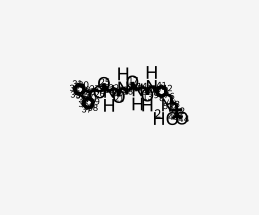 CC(C)(C[C@@H](N)Cc1ccc(NC(=O)CNC(=O)CNC(=O)CNC(=O)OCC2c3ccccc3-c3ccccc32)cc1)C(=O)O